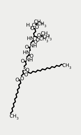 CCCCCCCCCCCCCCCC(=O)OCC(CSCCC(=O)NCC(=O)NCC(=O)NCC(=O)NC(CCC(=O)OC(C)(C)C)C(=O)OC(C)(C)C)OC(=O)CCCCCCCCCCCCCCC